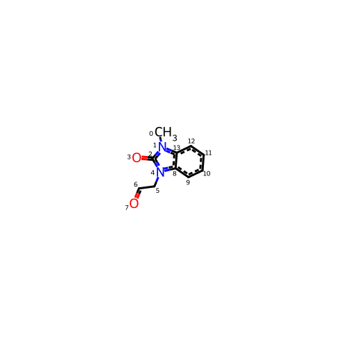 Cn1c(=O)n(CC=O)c2ccccc21